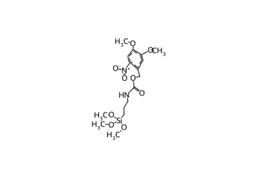 COc1cc(COC(=O)NCCC[Si](OC)(OC)OC)c([N+](=O)[O-])cc1OC